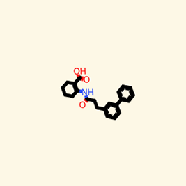 O=C(CCc1cccc(-c2ccccc2)c1)NC1=C(C(=O)O)CCCC1